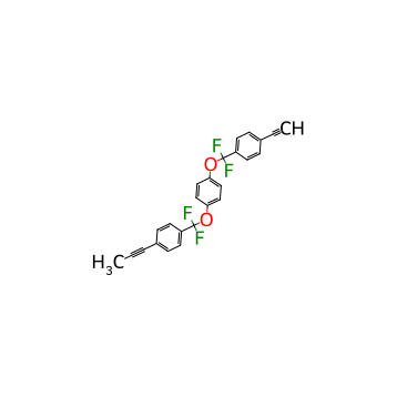 C#Cc1ccc(C(F)(F)Oc2ccc(OC(F)(F)c3ccc(C#CC)cc3)cc2)cc1